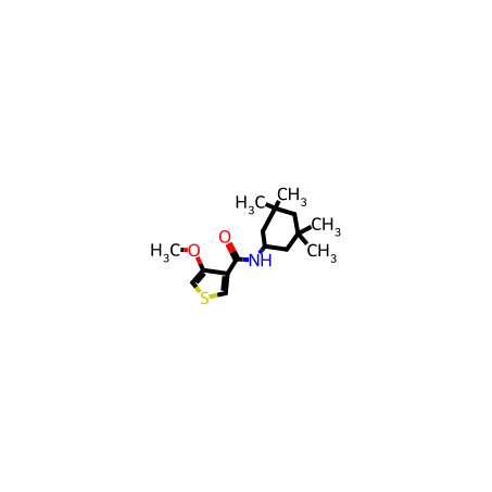 COc1cscc1C(=O)NC1CC(C)(C)CC(C)(C)C1